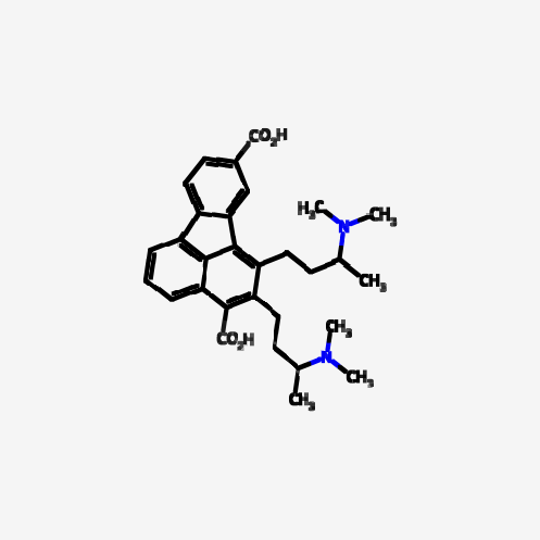 CC(CCc1c(CCC(C)N(C)C)c2c3c(cccc3c1C(=O)O)-c1ccc(C(=O)O)cc1-2)N(C)C